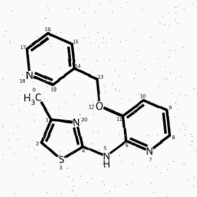 Cc1csc(Nc2ncccc2OCc2cccnc2)n1